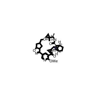 COc1ncc(C2=NOC3CC(CO)CC23)cc1C(=O)N[C@H]1[C@@H](C(=O)N[C@H](C)C2(C)CC2)[C@H]2CC[C@@H]1/C2=C\C1CC1